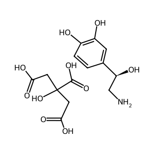 NC[C@H](O)c1ccc(O)c(O)c1.O=C(O)CC(O)(CC(=O)O)C(=O)O